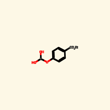 CCOC(=O)c1ccc(OB(O)O)cc1